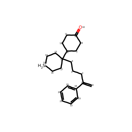 C=C(CCCC1(C2CCC(=O)CC2)CC[SiH2]CC1)c1ccccc1